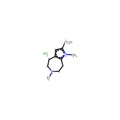 CCOC(=O)c1cc2c(n1C)CCN(CC)CC2.Cl